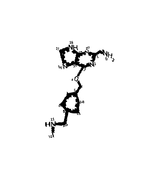 Nc1nc(OCc2ccc(CNI)cc2)c2nc[nH]c2n1